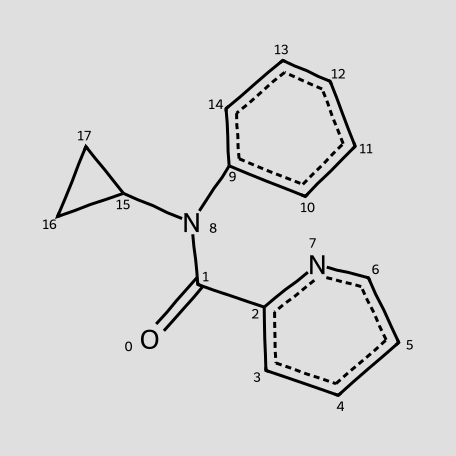 O=C(c1ccccn1)N(c1ccccc1)C1CC1